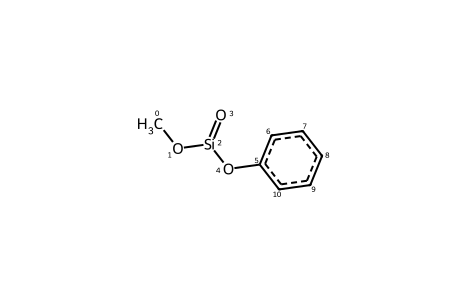 CO[Si](=O)Oc1ccccc1